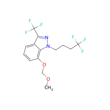 COCOc1cccc2c(C(F)(F)F)nn(CCCC(F)(F)F)c12